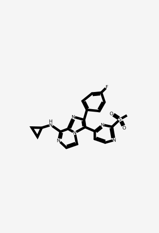 CS(=O)(=O)c1nccc(-c2c(-c3ccc(F)cc3)nc3c(NC4CC4)nccn23)n1